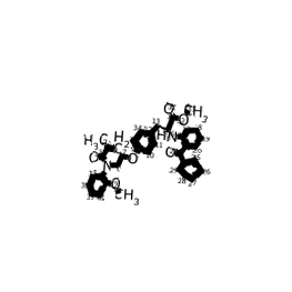 C=C(C)C(=O)N(CCOc1ccc(C[C@H](Nc2ccccc2C(=O)c2ccccc2)C(=O)OC)cc1)c1ccccc1OC